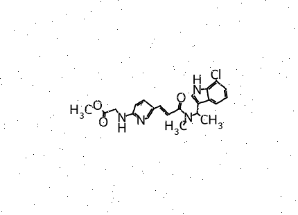 COC(=O)CNc1ccc(C=CC(=O)N(C)C(C)c2c[nH]c3c(Cl)cccc23)cn1